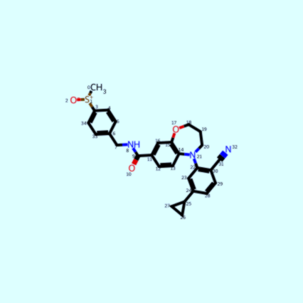 C[S+]([O-])c1ccc(CNC(=O)c2ccc3c(c2)OCCCN3c2cc(C3CC3)ccc2C#N)cc1